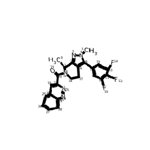 C[C@H]1c2nn(C)c(-c3cc(F)c(F)c(F)c3)c2CCN1C(=O)c1cc2ccccc2nn1